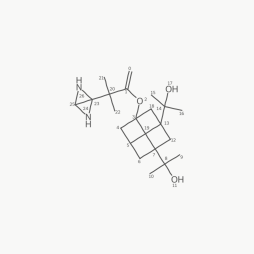 C=C(OC12CC3CC4(C(C)(C)O)CC(C(C)(C)O)(C1)C324)C(C)(C)C12NC1N2